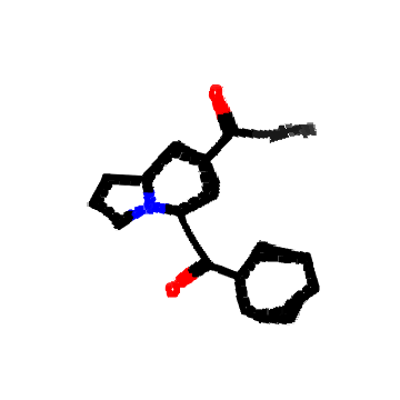 CCCCCCCC(=O)c1cc(C(=O)c2ccccc2)n2cccc2c1